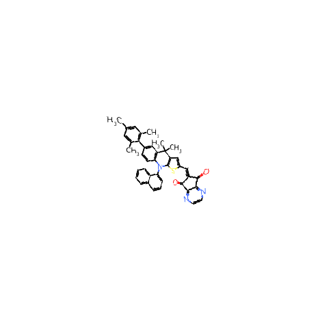 Cc1cc(C)c(-c2ccc3c(c2)C(C)(C)c2cc(C=C4C(=O)c5nccnc5C4=O)sc2N3c2cccc3ccccc23)c(C)c1